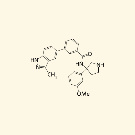 COc1cccc(C2(NC(=O)c3cccc(-c4ccc5[nH]nc(C)c5c4)c3)CCNC2)c1